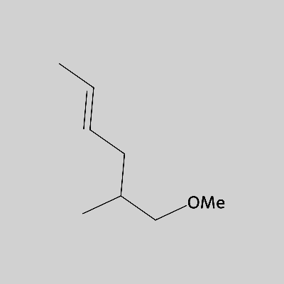 CC=CCC(C)COC